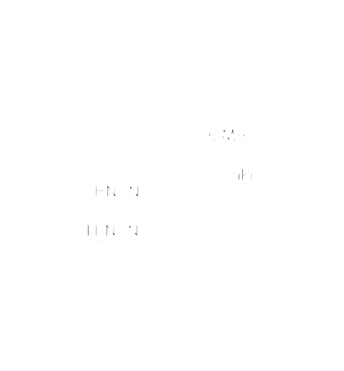 CCCc1cc(C/C(N=N)=N/N)ccc1OC